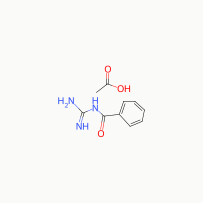 CC(=O)O.N=C(N)NC(=O)c1ccccc1